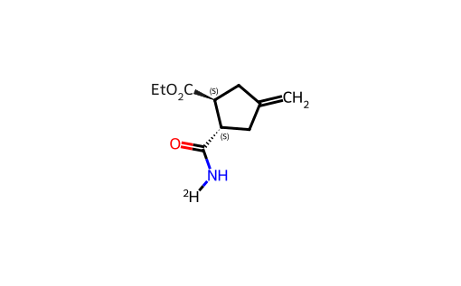 [2H]NC(=O)[C@H]1CC(=C)C[C@@H]1C(=O)OCC